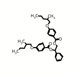 CCCC(C)COc1ccc(C(=O)OCC(OC(=O)c2ccc(OCC(C)CCC)cc2)c2ccccc2)cc1